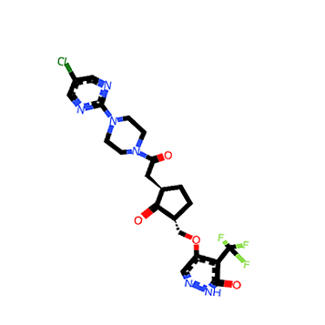 O=C1[C@@H](COc2cn[nH]c(=O)c2C(F)(F)F)CC[C@@H]1CC(=O)N1CCN(c2ncc(Cl)cn2)CC1